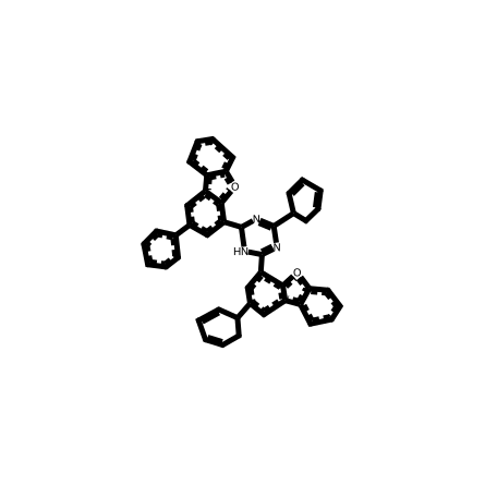 C1=CCC(C2=NC(c3cc(-c4ccccc4)cc4c3oc3ccccc34)NC(c3cc(C4C=CC=CC4)cc4c3oc3ccccc34)=N2)C=C1